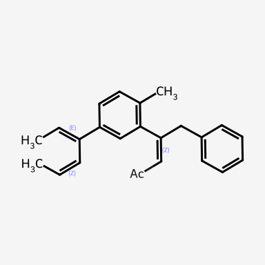 C/C=C\C(=C/C)c1ccc(C)c(/C(=C\C(C)=O)Cc2ccccc2)c1